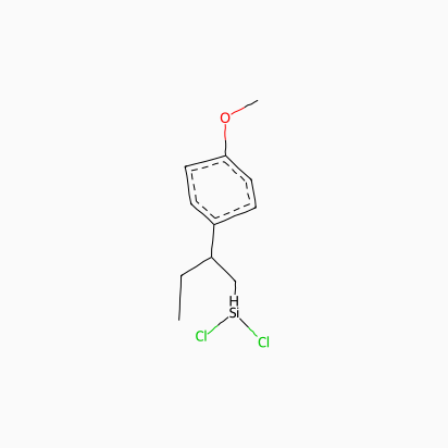 CCC(C[SiH](Cl)Cl)c1ccc(OC)cc1